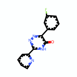 O=c1[nH]c(-c2ccccn2)nnc1-c1cccc(F)c1